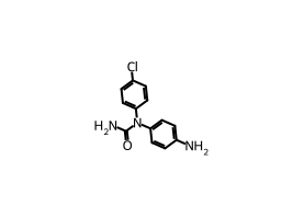 NC(=O)N(c1ccc(N)cc1)c1ccc(Cl)cc1